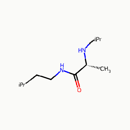 CC(C)CCNC(=O)[C@@H](C)NC(C)C